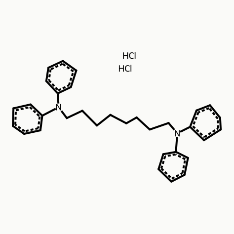 Cl.Cl.c1ccc(N(CCCCCCCCN(c2ccccc2)c2ccccc2)c2ccccc2)cc1